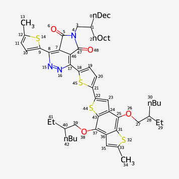 CCCCCCCCCCC(CCCCCCCC)CN1C(=O)c2c(-c3ccc(C)s3)nnc(-c3ccc(-c4cc5c(OCC(CC)CCCC)c6sc(C)cc6c(OCC(CC)CCCC)c5s4)s3)c2C1=O